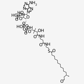 C[C@@H](CC=O)CCCCCCCCCCC(=O)SCCNC(=O)CCNC(=O)C(O)C(C)(C)COP(=O)(O)OP(=O)(O)OC[C@H]1O[C@@H](n2cnc3c(N)ncnc32)[C@H](O)[C@@H]1OP(=O)(O)O